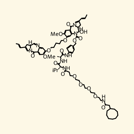 C/C=C/C1=CN2C(=O)c3cc(OC)c(OCCCCCOc4cc5c(cc4OC)C(=O)N4C=C(/C=C/C)C[C@H]4[C@H](O)N5C(=O)OCc4ccc(NC(=O)[C@H](C)NC(=O)[C@@H](NC(=O)CCOCCOCCOCCOCCNC(=O)CC5CCCCCCCC5)C(C)C)cc4)cc3N=C[C@@H]2C1